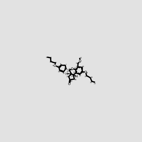 CCCCOC1=CCC([C@@H]2Oc3c(COC)cc(OCCCC)cc3[C@@H]3CC(=O)C[C@@H]32)C=C1